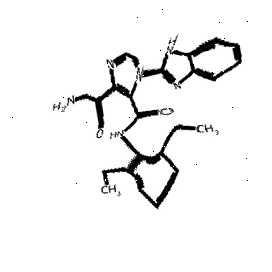 CCc1cccc(CC)c1NC(=O)c1c(C(N)=O)ncn1-c1nc2ccccc2[nH]1